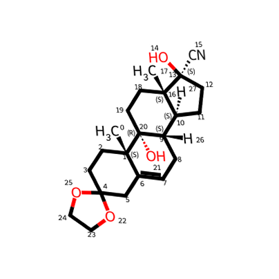 C[C@]12CCC3(CC1=CC[C@H]1[C@@H]4CC[C@@](O)(C#N)[C@@]4(C)CC[C@@]12O)OCCO3